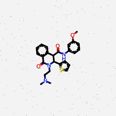 COc1cccc(NC(=O)C2c3ccccc3C(=O)N(CCN(C)C)C2c2cccs2)c1